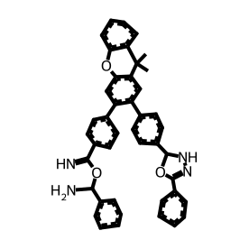 CC1(C)c2ccccc2Oc2cc(-c3ccc(C(=N)OC(N)c4ccccc4)cc3)c(-c3ccc(C4NN=C(c5ccccc5)O4)cc3)cc21